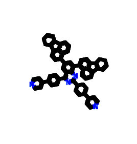 C1=CC2=C(CC1)c1ccc(-c3cc(-c4ccc5c6c(cccc46)C4=C5CCC=C4)c4nc(C5C=CC(c6ccncc6)=CC5)nc(-c5ccc(-c6ccncc6)cc5)c4c3)c3cccc2c13